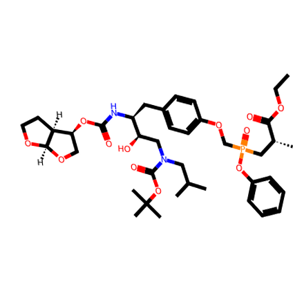 CCOC(=O)[C@H](C)CP(=O)(COc1ccc(C[C@H](NC(=O)O[C@H]2CO[C@H]3OCC[C@H]32)[C@H](O)CN(CC(C)C)C(=O)OC(C)(C)C)cc1)Oc1ccccc1